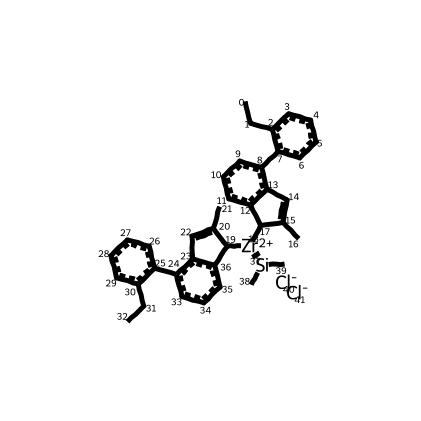 CCc1ccccc1-c1cccc2c1C=C(C)[CH]2[Zr+2]([CH]1C(C)=Cc2c(-c3ccccc3CC)cccc21)=[Si](C)C.[Cl-].[Cl-]